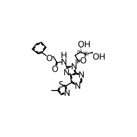 Cc1cnc(-c2ncnc3c2nc(NC(=O)COc2ccccc2)n3[C@H]2C[C@H](O)[C@@H](CO)O2)s1